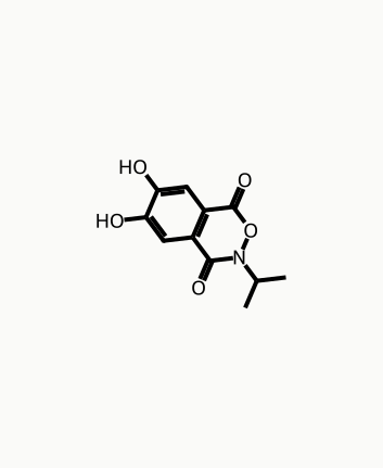 CC(C)n1oc(=O)c2cc(O)c(O)cc2c1=O